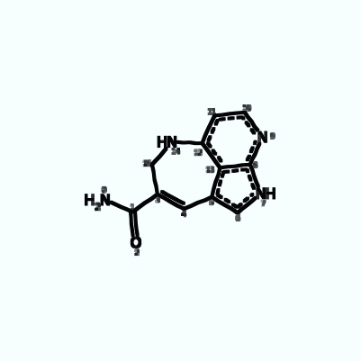 NC(=O)C1=Cc2c[nH]c3nccc(c23)NC1